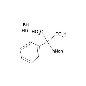 CCCCCCCCCC(C(=O)O)(C(=O)O)c1ccccc1.[KH].[LiH]